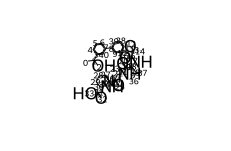 CC(O)c1cccc(-c2ccc(O[C@H](C)C(=O)N[C@H](C(=O)N[C@@H](C)C(=O)N3CCC[C@@H](C(=O)O)N3)C(C)C)cc2)c1